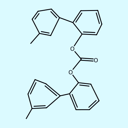 Cc1cccc(-c2ccccc2OC(=O)Oc2ccccc2-c2cccc(C)c2)c1